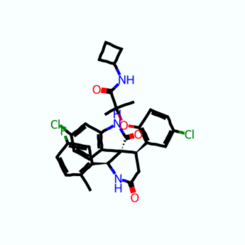 Cc1ccc(F)cc1[C@@H]1NC(=O)C[C@H](c2cc(Cl)ccc2OC(C)(C)C(=O)NC2CCC2)[C@@]12C(=O)Nc1cc(Cl)ccc12